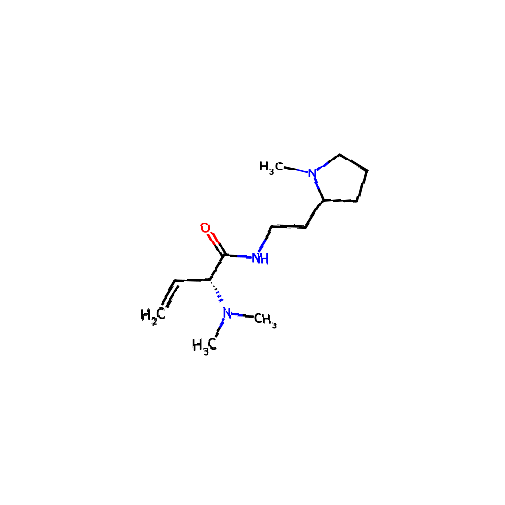 C=C[C@H](C(=O)NCCC1CCCN1C)N(C)C